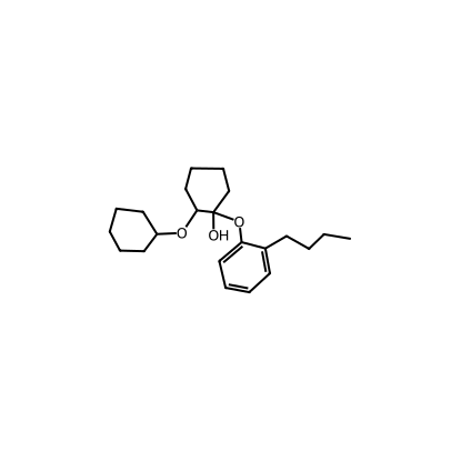 CCCCc1ccccc1OC1(O)CCCCC1OC1CCCCC1